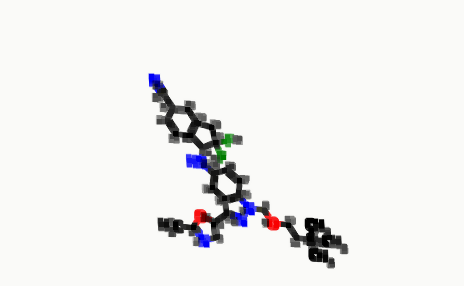 Cc1ncc(-c2nn(COCC[Si](C)(C)C)c3ccc(NC4c5ccc(C#N)cc5CC4(F)F)cc23)o1